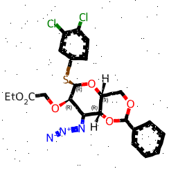 CCOC(=O)CO[C@@H]1C(N=[N+]=[N-])[C@H]2OC(c3ccccc3)OC[C@H]2O[C@@H]1Sc1ccc(Cl)c(Cl)c1